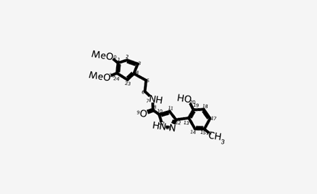 COc1ccc(CCNC(=O)c2cc(-c3cc(C)ccc3O)n[nH]2)cc1OC